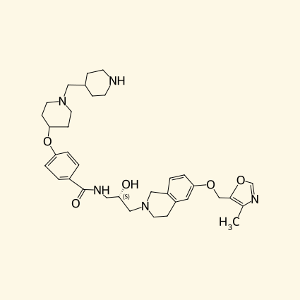 Cc1ncoc1COc1ccc2c(c1)CCN(C[C@@H](O)CNC(=O)c1ccc(OC3CCN(CC4CCNCC4)CC3)cc1)C2